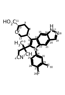 CC(C)(CC#N)c1c([C@@H]2CC[C@@H](C(=O)O)OC2)c2cc3[nH]ncc3cc2n1-c1ccc(F)c(F)c1